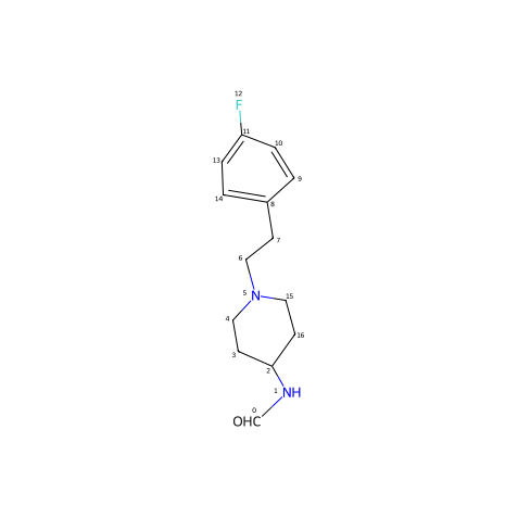 O=CNC1CCN(CCc2ccc(F)cc2)CC1